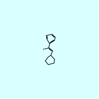 F/C(=C\C1CCCCC1)c1cc[c]cc1